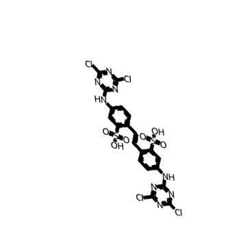 O=S(=O)(O)c1cc(Nc2nc(Cl)nc(Cl)n2)ccc1C=Cc1ccc(Nc2nc(Cl)nc(Cl)n2)cc1S(=O)(=O)O